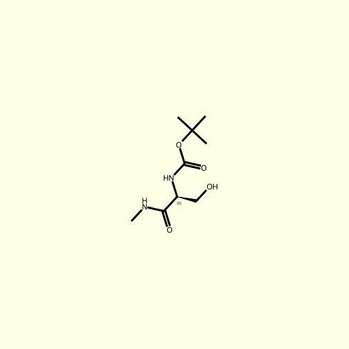 CNC(=O)[C@H](CO)NC(=O)OC(C)(C)C